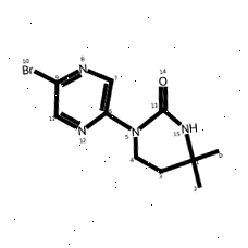 CC1(C)CCN(c2cnc(Br)cn2)C(=O)N1